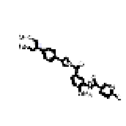 CN/C=C(\C=N)c1ccc(C2CN(C(=O)c3ccc(OC)c(NC(=O)c4ccc(Cl)nc4)c3)C2)cc1